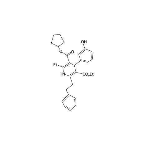 CCOC(=O)C1=C(CCc2ccccc2)NC(CC)=C(C(=O)OC2CCCC2)C1c1cccc(O)c1